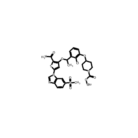 CC(Oc1cc(-n2cnc3ccc(S(C)(=O)=O)cc32)sc1C(N)=O)c1cccc(OC2CCN(C(=O)OC(C)(C)C)CC2)c1Cl